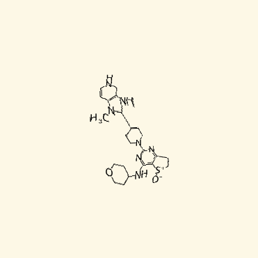 CN1C2=C(CNC=C2)NC1C1CCN(c2nc3c(c(NC4CCOCC4)n2)[S+]([O-])CC3)CC1